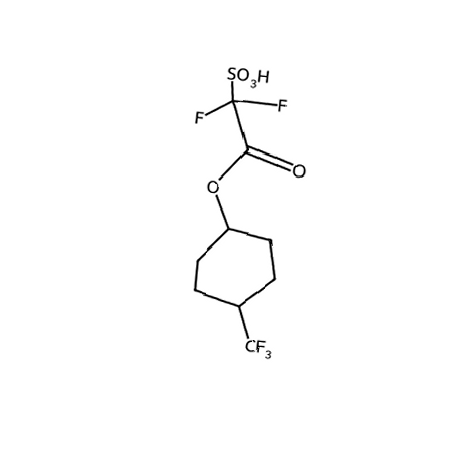 O=C(OC1CCC(C(F)(F)F)CC1)C(F)(F)S(=O)(=O)O